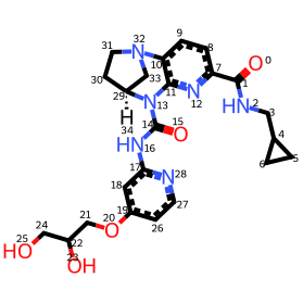 O=C(NCC1CC1)c1ccc2c(n1)N(C(=O)Nc1cc(OCC(O)CO)ccn1)[C@H]1CCN2C1